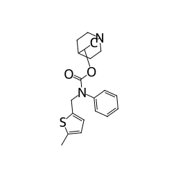 Cc1ccc(CN(C(=O)OC2CN3CCC2CC3)c2ccccc2)s1